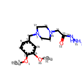 CCCCOc1ccc(CN2CCN(CC(=O)NN)CC2)cc1OCCCC